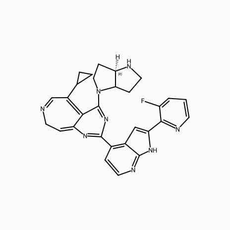 Fc1cccnc1-c1cc2c(-c3nc(N4CC[C@H]5NCCC54)c4c(n3)=CCN=CC=4C3CC3)ccnc2[nH]1